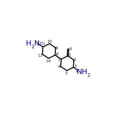 C=C1CC(N)CCC1C1CCC(N)CC1